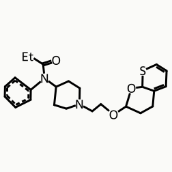 CCC(=O)N(c1ccccc1)C1CCN(CCOC2CCC3=CC=CSC3O2)CC1